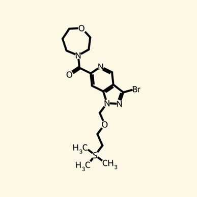 CS(C)(C)CCOCn1nc(Br)c2cnc(C(=O)N3CCCOCC3)cc21